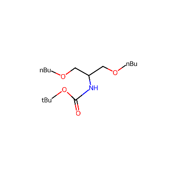 CCCCOCC(COCCCC)NC(=O)OC(C)(C)C